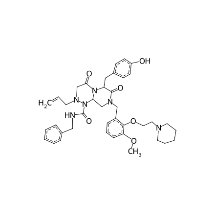 C=CCN1CC(=O)N2C(Cc3ccc(O)cc3)C(=O)N(Cc3cccc(OC)c3OCCN3CCCCC3)CC2N1C(=O)NCc1ccccc1